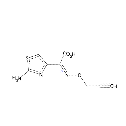 C#CCO/N=C(\C(=O)O)c1csc(N)n1